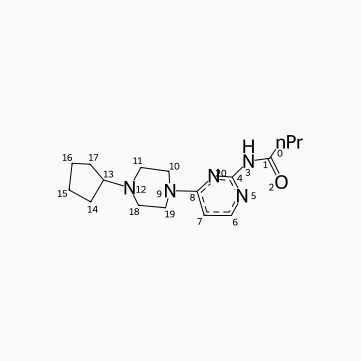 CCCC(=O)Nc1nccc(N2CCN(C3CCCC3)CC2)n1